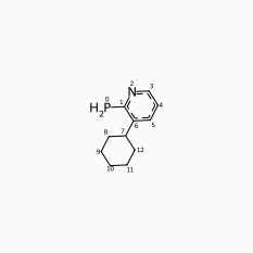 Pc1ncccc1C1CCCCC1